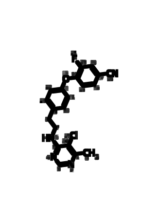 Cc1ncnc(NCCc2ccc(Oc3ccc(C#N)cc3F)cc2)c1Cl